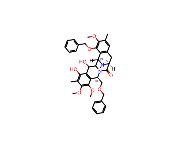 COc1c(C)cc2c(c1OCc1ccccc1)[C@H]1C3C(O)c4c(O)c(C)c(OC)c(OC)c4[C@H](COCc4ccccc4)N3C(=O)[C@H](C2)N1C